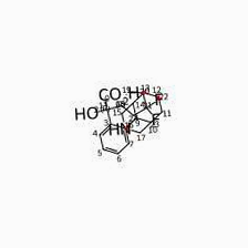 O=C(O)[C@](O)(c1ccccc1C1C2CCCC1CNC2)[C@@H]1CCC(F)(F)C1